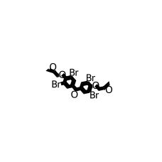 O=C(c1cc(Br)c(OCC2CO2)c(Br)c1)c1cc(Br)c(OCC2CO2)c(Br)c1